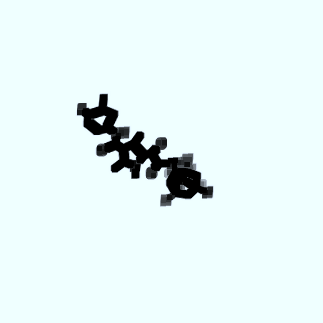 Cc1cc(NC(=O)c2c(C)c(C(=O)C(=O)N[C@]34C[C@@H]5C[C@@H](C[C@H]3C5)C4)n(C)c2C)ccc1F